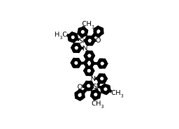 Cc1ccc([Si]2(c3ccc(C)cc3)c3ccccc3N(c3ccc4c(-c5ccccc5)c5cc(N6c7ccccc7[Si](c7ccc(C)cc7)(c7ccc(C)cc7)c7cc8c(cc76)oc6ccccc68)ccc5c(-c5ccccc5)c4c3)c3cc4oc5ccccc5c4cc32)cc1